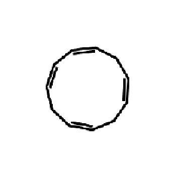 [C]1=CC=CCC=CCC=CC1